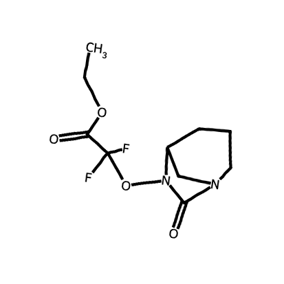 CCOC(=O)C(F)(F)ON1C(=O)N2CCCC1C2